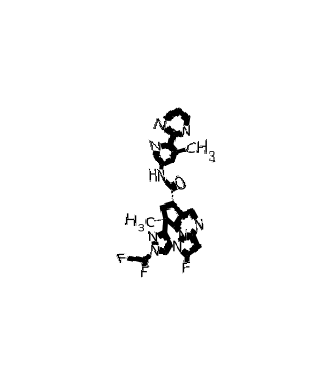 Cc1cc(NC(=O)[C@H]2C[C@](C)(c3ccn(C(F)F)n3)c3c2cnc2cc(F)nn32)cnc1-c1ncccn1